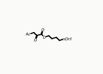 CCCCCCCCCCCCOC(=O)C(=O)CC(C)=O